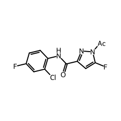 CC(=O)n1nc(C(=O)Nc2ccc(F)cc2Cl)cc1F